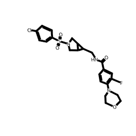 O=C(NCC1C2CN(S(=O)(=O)c3ccc(Cl)cc3)CC12)c1ccc(N2CCOCC2)c(F)c1